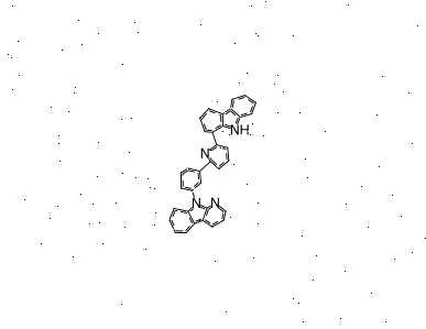 c1cc(-c2cccc(-c3cccc4c3[nH]c3ccccc34)n2)cc(-n2c3ccccc3c3cccnc32)c1